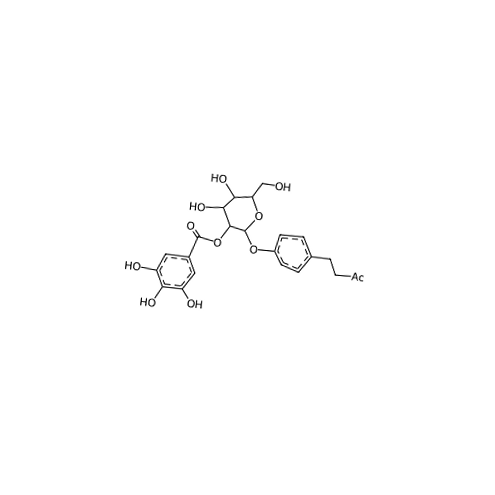 CC(=O)CCc1ccc(OC2OC(CO)C(O)C(O)C2OC(=O)c2cc(O)c(O)c(O)c2)cc1